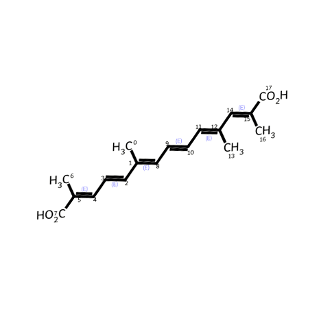 CC(/C=C/C=C(\C)C(=O)O)=C\C=C\C=C(C)\C=C(/C)C(=O)O